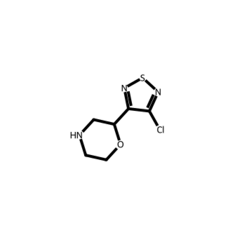 Clc1nsnc1C1CNCCO1